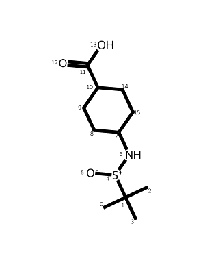 CC(C)(C)[S+]([O-])NC1CCC(C(=O)O)CC1